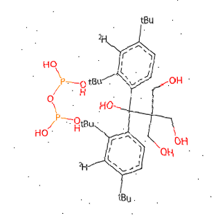 OP(O)OP(O)O.[2H]c1c(C(C)(C)C)ccc(C(O)(c2ccc(C(C)(C)C)c([2H])c2C(C)(C)C)C(CO)(CO)CO)c1C(C)(C)C